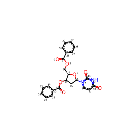 O=C(OC[C@H]1O[C@@H](n2ccc(=O)[nH]c2=O)C[C@H]1OC(=O)c1ccccc1)c1ccccc1